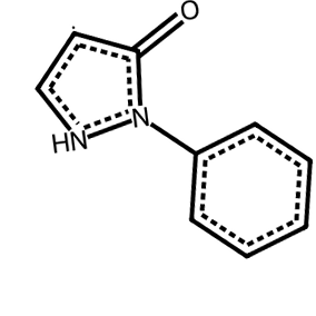 O=c1[c]c[nH]n1-c1ccccc1